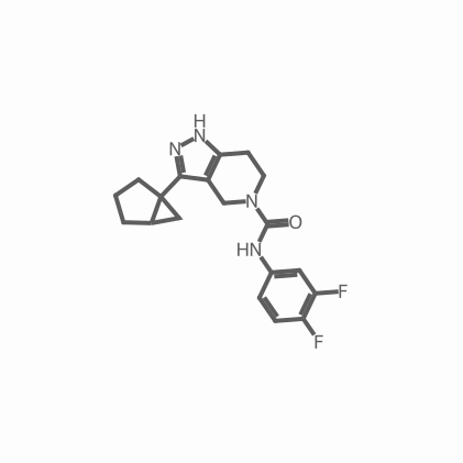 O=C(Nc1ccc(F)c(F)c1)N1CCc2[nH]nc(C34CCCC3C4)c2C1